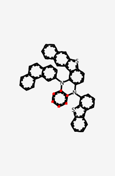 c1ccc(N(c2ccc3sc4cc5ccccc5cc4c3c2N(c2ccccc2)c2ccc3ccc4ccccc4c3c2)c2cccc3c2sc2ccccc23)cc1